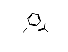 C=C(CC)C(=O)O.CC.S.c1ccccc1